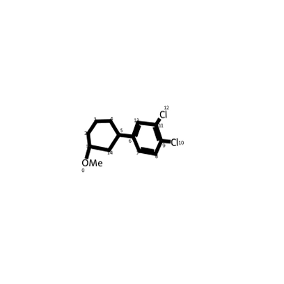 COC1CCC[C](c2ccc(Cl)c(Cl)c2)C1